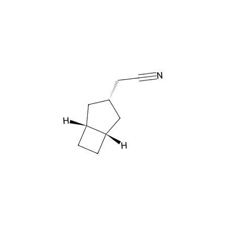 N#CC[C@H]1C[C@H]2CC[C@H]2C1